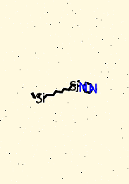 C=C[Si](C)(C)CCCCCCCC[Si](C)(C)N1CCN(C)CC1